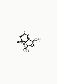 OB1OC(O)c2cccc(F)c21